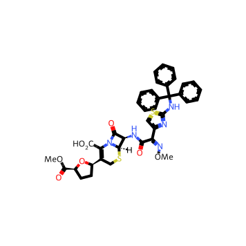 CO/N=C(\C(=O)N[C@@H]1C(=O)N2C(C(=O)O)=C([C@H]3CC[C@@H](C(=O)OC)O3)CS[C@H]12)c1csc(NC(c2ccccc2)(c2ccccc2)c2ccccc2)n1